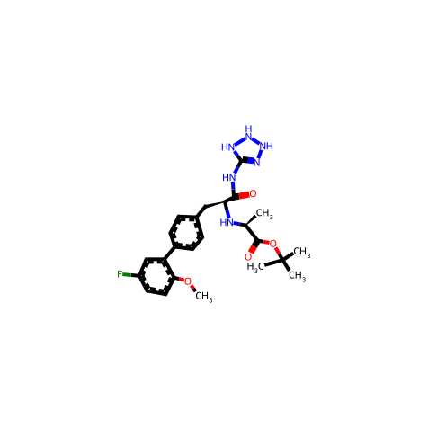 COc1ccc(F)cc1-c1ccc(C[C@H](N[C@@H](C)C(=O)OC(C)(C)C)C(=O)NC2=NNNN2)cc1